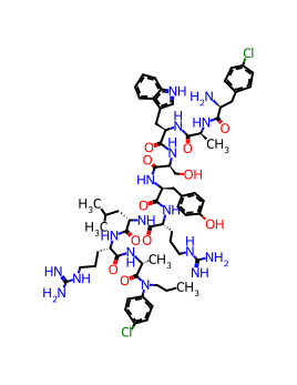 CCCN(C(=O)[C@@H](C)NC(=O)[C@H](CCCNC(=N)N)NC(=O)[C@H](CC(C)C)NC(=O)[C@@H](CCCNC(=N)N)NC(=O)[C@H](Cc1ccc(O)cc1)NC(=O)[C@H](CO)NC(=O)[C@@H](Cc1c[nH]c2ccccc12)NC(=O)[C@H](C)NC(=O)[C@@H](N)Cc1ccc(Cl)cc1)c1ccc(Cl)cc1